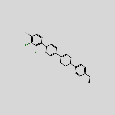 C=Cc1ccc(C2CC=C(c3ccc(-c4ccc(CC)c(F)c4Cl)cc3)CC2)cc1